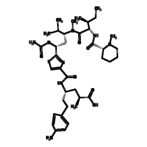 CC[C@H](C)[C@H](NC(=O)[C@H]1CCCCN1C)C(=O)N(C)[C@H](C[C@@H](OC(N)=O)c1nc(C(=O)N[C@@H](CCc2ccc(N)cc2)C[C@H](C)C(=O)O)cs1)C(C)C